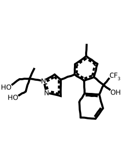 Cc1cc(-c2cnn(C(C)(CO)CO)c2)c2c(c1)C(O)(C(F)(F)F)C1=C2CCC=C1